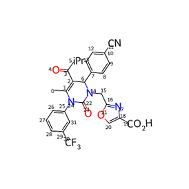 CC1=C(C(=O)C(C)C)C(c2ccc(C#N)cc2)N(Cc2nc(C(=O)O)co2)C(=O)N1c1cccc(C(F)(F)F)c1